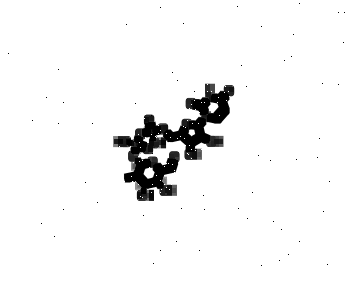 CC1[C@@H](O[P@@](=O)(O)O[P@@](=O)(O)OCC2OC(n3ccc(=O)[nH]c3=O)C(O)C2O)OC(C=O)[C@@H](O)[C@@H]1O